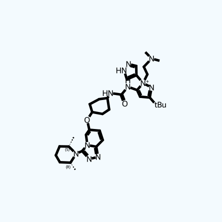 C[C@@H]1CCC[C@H](C)N1c1nnc2ccc(OC3CCC(NC(=O)NC4=CC(C(C)(C)C)=N[N+]4(CCN(C)C)c4cn[nH]c4)CC3)cn12